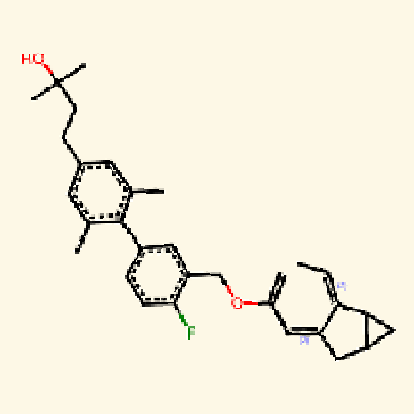 C=C(/C=C1/CC2CC2/C1=C/C)OCc1cc(-c2c(C)cc(CCC(C)(C)O)cc2C)ccc1F